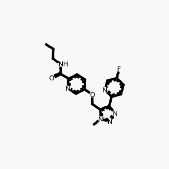 CCCNC(=O)c1ccc(OCc2c(-c3ccc(F)cn3)nnn2C)cn1